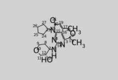 CC(=O)c1nc(N[C@@H]2CCOC[C@H]2O)nc2c1c(C)cc(=O)n2C1CCCC1